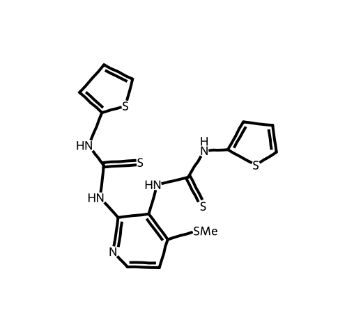 CSc1ccnc(NC(=S)Nc2cccs2)c1NC(=S)Nc1cccs1